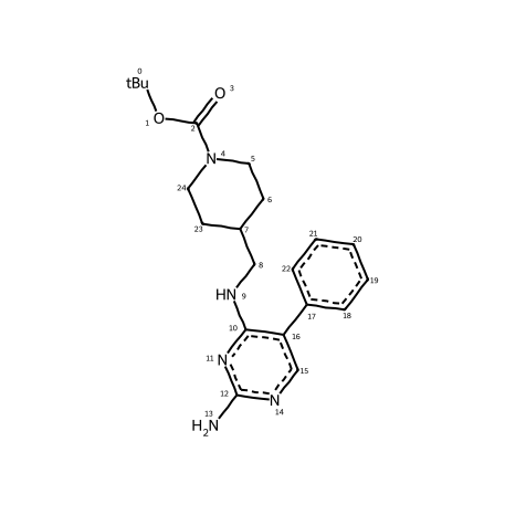 CC(C)(C)OC(=O)N1CCC(CNc2nc(N)ncc2-c2ccccc2)CC1